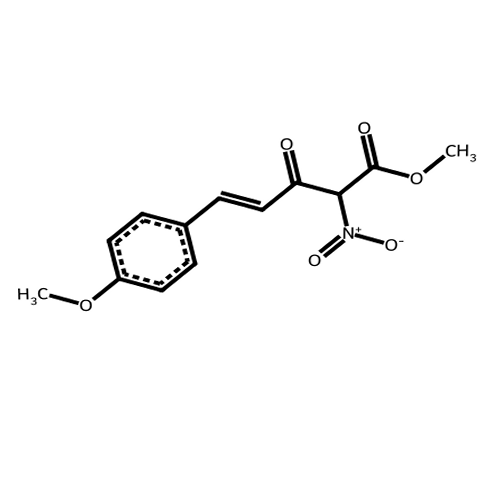 COC(=O)C(C(=O)C=Cc1ccc(OC)cc1)[N+](=O)[O-]